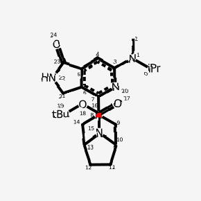 CC(C)N(C)c1cc2c(c(N3CC4CCC(C3)N4C(=O)OC(C)(C)C)n1)CNC2=O